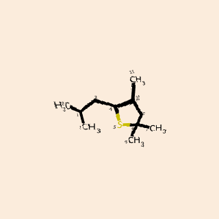 CC(C)CC1SC(C)(C)CC1C